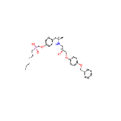 CCCCCCP(=O)(O)COc1ccc(C[C@@H](C)NC[C@H](O)COc2ccc(OCc3ccccc3)cc2)cc1